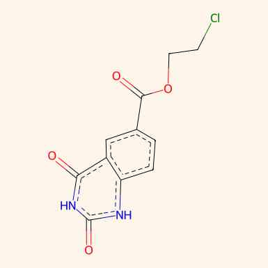 O=C(OCCCl)c1ccc2[nH]c(=O)[nH]c(=O)c2c1